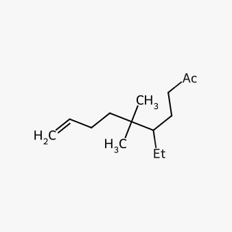 C=CCCC(C)(C)C(CC)CCC(C)=O